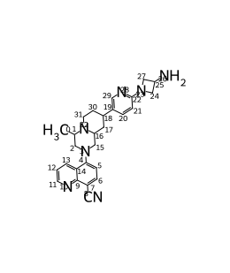 CC1CN(c2ccc(C#N)c3ncccc23)CC2CC(c3ccc(N4CC(N)C4)nc3)CCN12